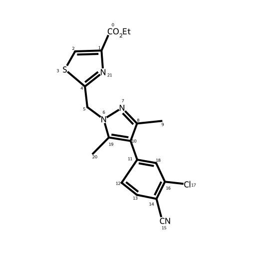 CCOC(=O)c1csc(Cn2nc(C)c(-c3ccc(C#N)c(Cl)c3)c2C)n1